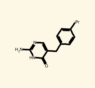 CC(C)c1ccc(Cc2cnc(N)[nH]c2=O)cc1